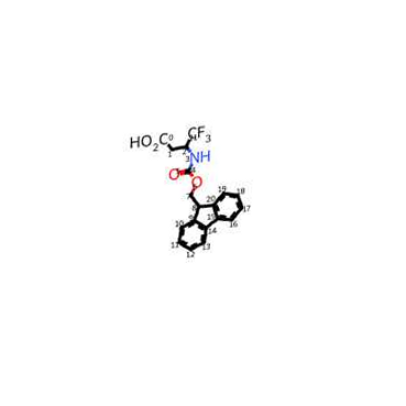 O=C(O)CC(NC(=O)OCC1c2ccccc2-c2ccccc21)C(F)(F)F